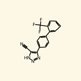 N#Cc1[nH]nnc1-c1ccc(-c2ccccc2C(F)(F)F)cc1